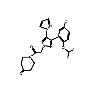 O=C1CCN(C(=O)Cn2cc(-n3cccn3)c(-c3cc(Cl)ccc3OC(F)F)n2)CC1